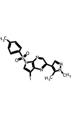 Cc1ccc(S(=O)(=O)n2cc(I)c3nc(-c4cnn(C)c4C)cnc32)cc1